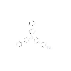 Nc1ccc(-c2ccc(N(c3ccc(-c4ccccc4)cc3)c3ccc(-c4ccccc4)cc3)cc2)cc1